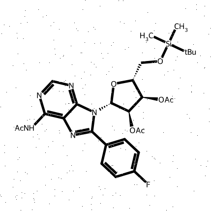 CC(=O)Nc1ncnc2c1nc(-c1ccc(F)cc1)n2[C@@H]1O[C@H](CO[Si](C)(C)C(C)(C)C)[C@@H](OC(C)=O)[C@H]1OC(C)=O